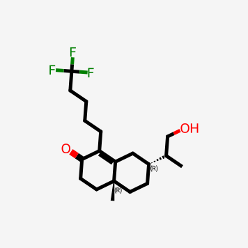 CC(CO)[C@@H]1CC[C@]2(C)CCC(=O)C(CCCCC(F)(F)F)=C2C1